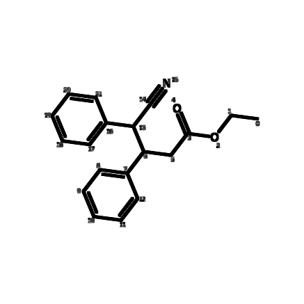 CCOC(=O)CC(c1ccccc1)C(C#N)c1ccccc1